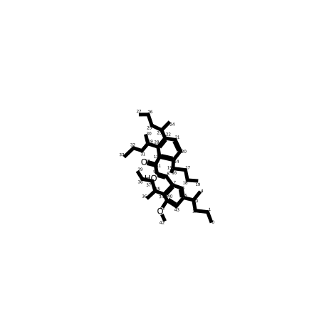 CCCC(C)c1cc(C=C(O)C(=O)c2c(C(C)CCC)ccc(C(C)CCC)c2C(C)CCC)c(C(C)CCC)c(OC)c1